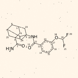 NC(=O)C12CC3CC(CC(NC(=O)c4cccc(OC(F)F)c4)(C3)C1)C2